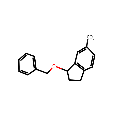 O=C(O)c1ccc2c(c1)C(OCc1ccccc1)CC2